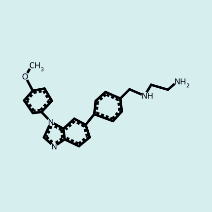 COc1ccc(-n2cnc3ccc(-c4ccc(CNCCN)cc4)cc32)cc1